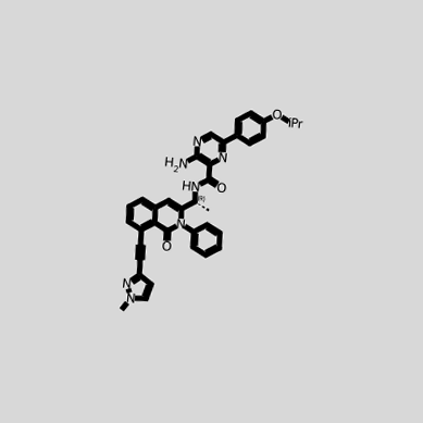 CC(C)Oc1ccc(-c2cnc(N)c(C(=O)N[C@H](C)c3cc4cccc(C#Cc5ccn(C)n5)c4c(=O)n3-c3ccccc3)n2)cc1